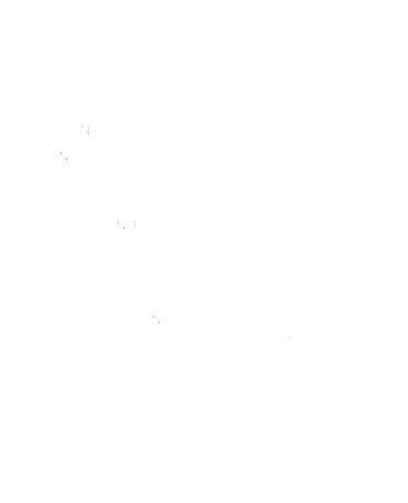 O=C(Nc1ccnnc1)c1cc(C(F)(F)F)cnc1Oc1ccc(OC(F)F)cc1